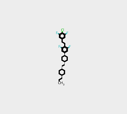 CCC[C@H]1CC[C@H](CC[C@H]2CC[C@H](c3cc(F)c(CCc4cc(F)c(Cl)c(F)c4)c(F)c3)CC2)CC1